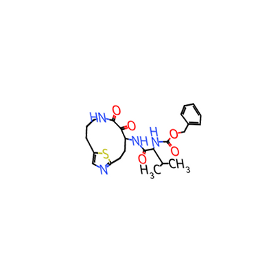 CC(C)C(NC(=O)OCc1ccccc1)C(=O)NC1CCc2ncc(s2)CCCNC(=O)C1=O